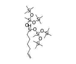 C=CCCCC[SiH](O[Si](C)(O[Si](C)(C)C)O[Si](C)(C)C)O[Si](C)(O[Si](C)(C)C)O[Si](C)(C)C